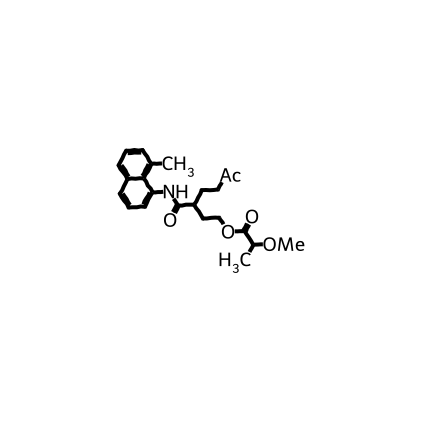 COC(C)C(=O)OCCC(CCC(C)=O)C(=O)Nc1cccc2cccc(C)c12